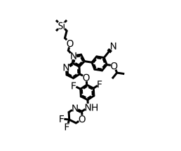 CC(C)Oc1ccc(-c2cn(COCC[Si](C)(C)C)c3nccc(Oc4c(F)cc(NC5=NCC(F)(F)CO5)cc4F)c23)cc1C#N